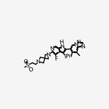 Cc1c(-c2[nH]c3cnc(N4CC5(CN(CCS(C)(=O)=O)C5)C4)c(F)c3c2C(C)C)cn2ncnc2c1C